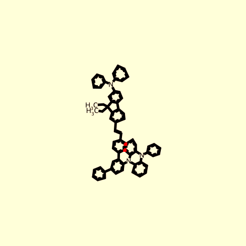 CCC1(CC)c2cc(/C=C/c3ccc(-c4cc(-c5ccccc5)ccc4N4c5ccccc5N(c5ccccc5)c5ccccc54)cc3)ccc2-c2ccc(N(c3ccccc3)c3ccccc3)cc21